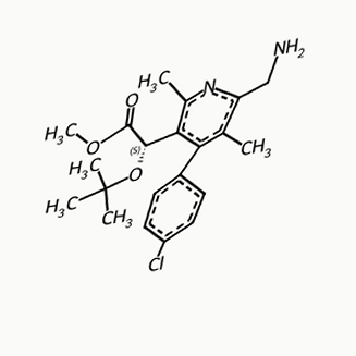 COC(=O)[C@@H](OC(C)(C)C)c1c(C)nc(CN)c(C)c1-c1ccc(Cl)cc1